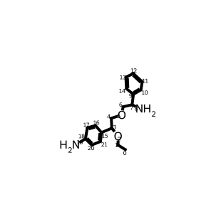 CCOC(COCC(N)c1ccccc1)c1ccc(N)cc1